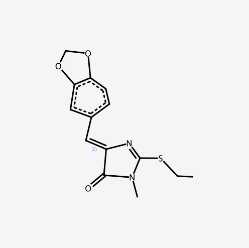 CCSC1=N/C(=C\c2ccc3c(c2)OCO3)C(=O)N1C